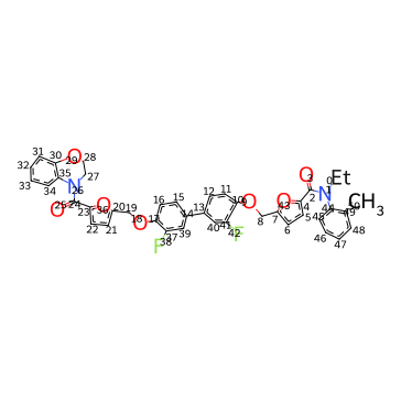 CCN(C(=O)c1ccc(COc2ccc(-c3ccc(OCc4ccc(C(=O)N5CCOc6ccccc65)o4)c(F)c3)cc2F)o1)c1ccccc1C